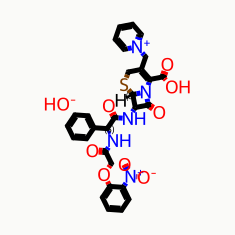 O=C(COc1ccccc1[N+](=O)[O-])N[C@H](C(=O)NC1C(=O)N2C(C(=O)O)=C(C[n+]3ccccc3)CS[C@@H]12)c1ccccc1.[OH-]